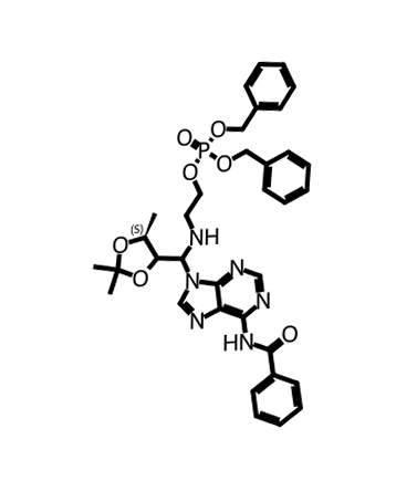 C[C@@H]1OC(C)(C)OC1C(NCCOP(=O)(OCc1ccccc1)OCc1ccccc1)n1cnc2c(NC(=O)c3ccccc3)ncnc21